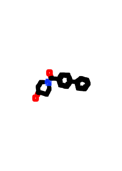 O=C1CCN(C(=O)c2ccc(-c3ccccc3)cc2)CC1